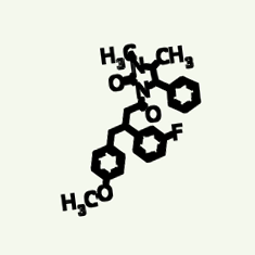 COc1ccc(CC(CC(=O)N2C(=O)N(C)C(C)C2c2ccccc2)c2cccc(F)c2)cc1